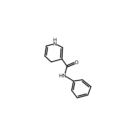 O=C(Nc1ccccc1)C1=CNC=CC1